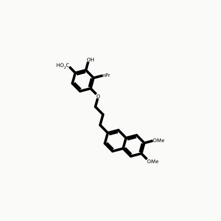 CCCc1c(OCCCc2ccc3cc(OC)c(OC)cc3c2)ccc(C(=O)O)c1O